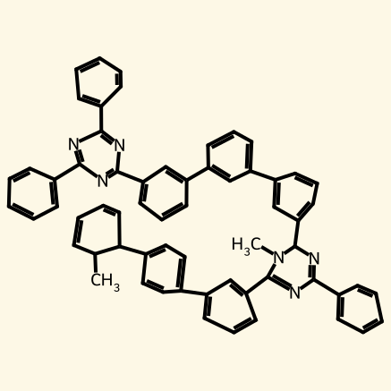 CC1C=CC=CC1c1ccc(-c2cccc(C3=NC(c4ccccc4)=NC(c4cccc(-c5cccc(-c6cccc(-c7nc(-c8ccccc8)nc(-c8ccccc8)n7)c6)c5)c4)N3C)c2)cc1